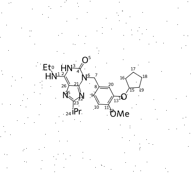 CCNc1[nH]c(=O)n(Cc2ccc(OC)c(OC3CCCC3)c2)c2nc(C(C)C)nc1-2